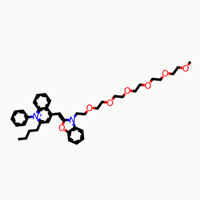 CCCCc1cc(/C=C2\Oc3ccccc3N2CCOCCOCCOCCOCCOCCOC)c2ccccc2[n+]1-c1ccccc1